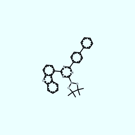 CC1(C)OB(c2nc(-c3ccc(-c4ccccc4)cc3)nc(-c3cccc4oc5ccccc5c34)n2)OC1(C)C